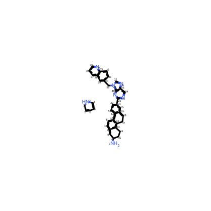 C1=CCNC=C1.NC1C=c2ccc3c(c2CC1)CC=c1cc(-c2ncc4ncn(Cc5ccc6ncccc6c5)c4n2)ccc1=3